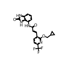 O=C(/C=C/c1ccc(C(F)(F)F)nc1OCC1CC1)Nc1cccc2[nH]c(=O)[nH]c12